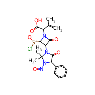 C=C(C)C(C(=O)O)N1C(=O)C(N2C(=O)C(c3ccccc3)N(N=O)C2(C)C)C1[S+]([O-])Cl